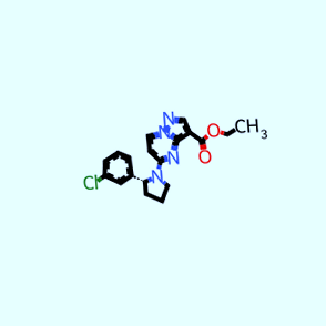 CCOC(=O)c1cnn2ccc(N3CCC[C@@H]3c3cccc(Cl)c3)nc12